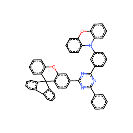 c1ccc(-c2nc(-c3cccc(N4c5ccccc5Oc5ccccc54)c3)nc(-c3ccc4c(c3)Oc3ccccc3C43c4ccccc4-c4ccccc43)n2)cc1